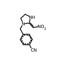 N#Cc1ccc(CN2CCNC2=C[N+](=O)[O-])cc1